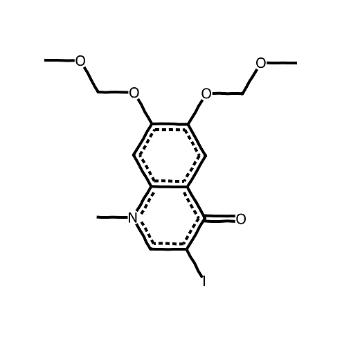 COCOc1cc2c(=O)c(I)cn(C)c2cc1OCOC